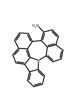 O=[N+]([O-])c1ccc2cccc3c2c1c1cccc2ccc4c5ccccc5n3c4c21